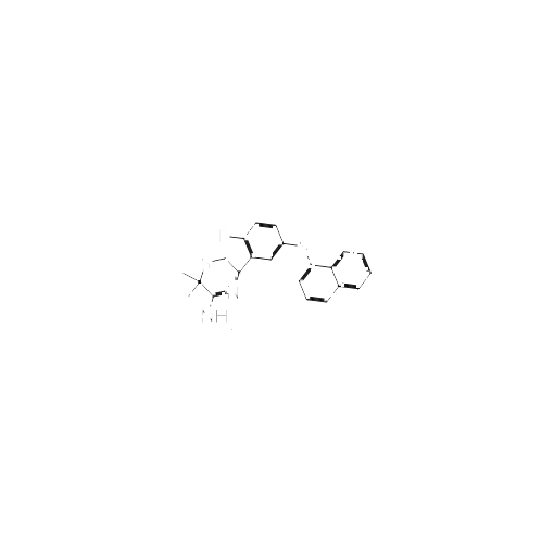 CC1(C)SC[C@@](C)(c2cc(Sc3cccc4ccccc34)ccc2F)N=C1N